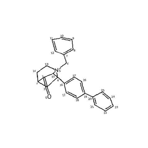 O=C1C2CC[N+](Cc3ccccc3)(CC2)C1c1ccc(-c2ccccc2)cc1